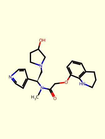 CN(C(=O)COc1cccc2c1NCCC2)[C@H](CN1CCC(O)C1)c1ccncc1